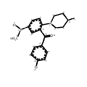 CCN(C(=O)O)c1ccc(N2CCC(C)CC2)c(C(=O)c2ccc(Cl)cc2)c1